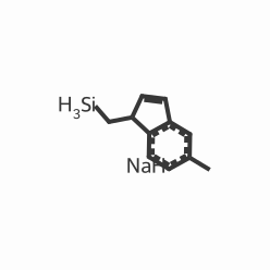 Cc1ccc2c(c1)C=CC2C[SiH3].[NaH]